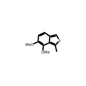 [CH2]c1scc2ccc(OC)c(OC)c12